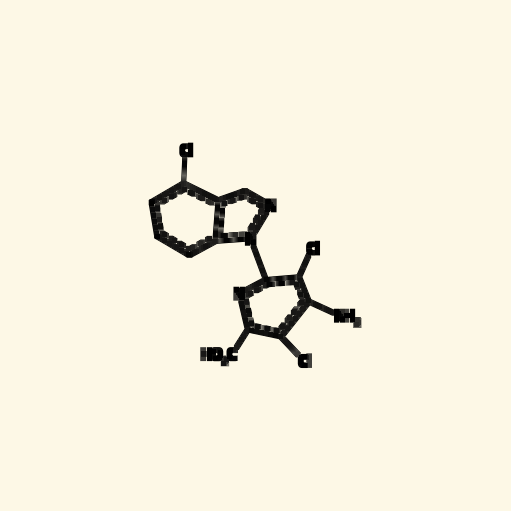 Nc1c(Cl)c(C(=O)O)nc(-n2ncc3c(Cl)cccc32)c1Cl